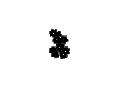 CC1(C)c2ccccc2-c2ccc3c(c21)c1ccccc1n3-c1nc(-c2cccc3ccccc23)nc(-c2cccc3ccccc23)n1